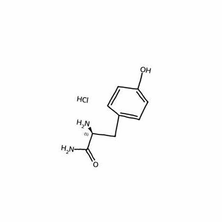 Cl.NC(=O)[C@@H](N)Cc1ccc(O)cc1